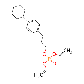 C=COP(=O)(OC=C)OCCCc1ccc(C2CCCCC2)cc1